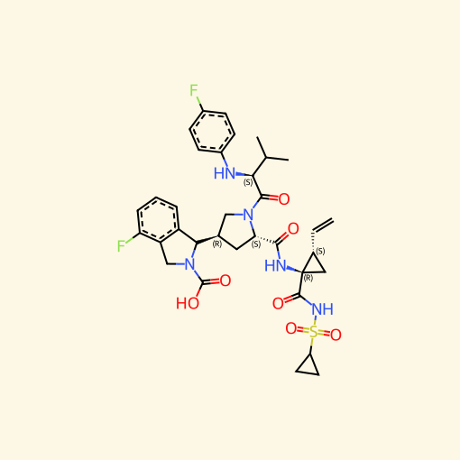 C=C[C@@H]1C[C@]1(NC(=O)[C@@H]1C[C@@H](C2c3cccc(F)c3CN2C(=O)O)CN1C(=O)[C@@H](Nc1ccc(F)cc1)C(C)C)C(=O)NS(=O)(=O)C1CC1